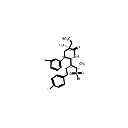 CCS(=O)(=O)[C@@H](C)[C@@H](CCc1ccc(Cl)cc1)[C@H]1NC(=O)[C@](C)(CC(=O)O)C[C@@H]1c1cccc(Cl)c1